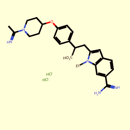 CCn1c(CC(C(=O)O)c2ccc(OC3CCN(C(C)=N)CC3)cc2)cc2ccc(C(=N)N)cc21.Cl.Cl